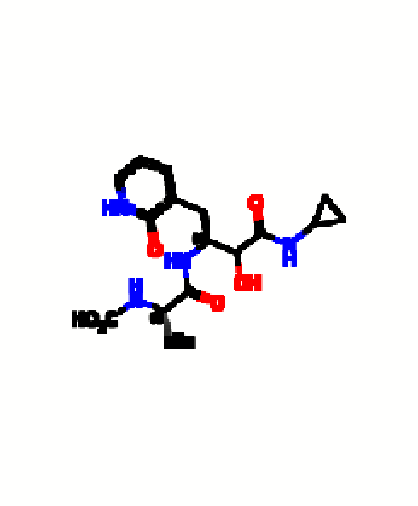 CCCC[C@H](NC(=O)O)C(=O)N[C@@H](Cc1ccc[nH]c1=O)C(O)C(=O)NC1CC1